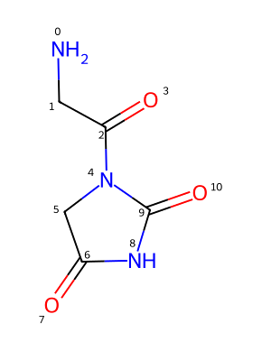 NCC(=O)N1CC(=O)NC1=O